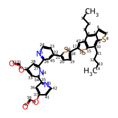 CCCCc1c2ccsc2c(CCCC)c2sc(-c3ccc(-c4ccnc(-c5cc(OC=O)cc(-c6cc(OC=O)ccn6)n5)c4)s3)cc12